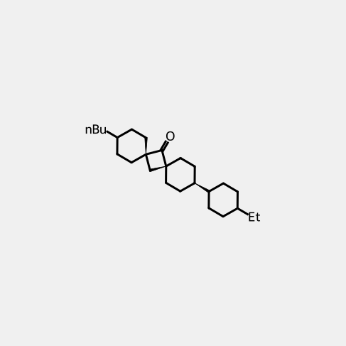 CCCCC1CC[C@]2(CC1)C[C@@]1(CC[C@H](C3CCC(CC)CC3)CC1)C2=O